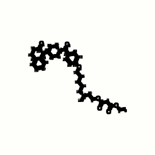 CCOC(=O)CC(=O)OCCN(C)CCCCCOc1ccc(C(=O)N2CCC(N3C(=O)CCc4ccccc43)CC2)cc1